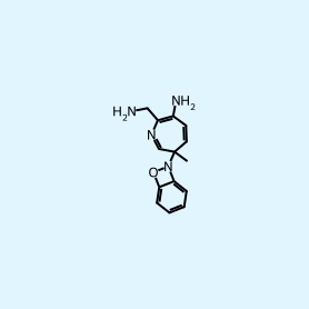 CC1(n2oc3ccccc32)C=CC(N)=C(CN)N=C1